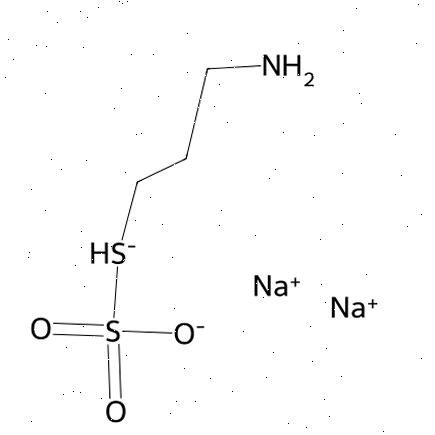 NCCC[SH-]S(=O)(=O)[O-].[Na+].[Na+]